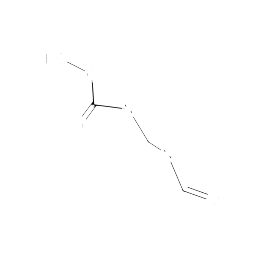 COC(=O)NCN[C]=O